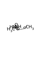 CCc1ccc(CCCCCc2ccc([C@@H]3NC(=O)CN[C@H]3CC)o2)cc1